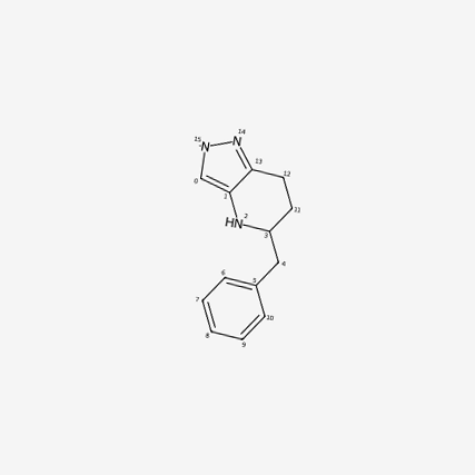 C1=C2NC(Cc3ccccc3)CCC2=N[N]1